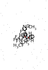 COc1cc(-c2cc(C(=O)N3[C@@H]4CC[C@H]3CC(C(=O)N[C@H]3CC[C@@H](C(F)(F)F)N(CC(C)(C)F)C3)C4)n[nH]2)c(F)cn1